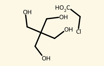 O=C(O)CCl.OCC(CO)(CO)CO